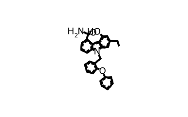 CCc1cc(O)c2c3c(C(N)=O)cccc3n(Cc3ccccc3Oc3ccccc3)c2c1